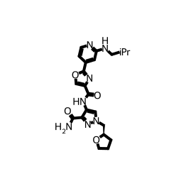 CC(C)CNc1cc(-c2nc(C(=O)Nc3cn(C[C@H]4CCCO4)nc3C(N)=O)co2)ccn1